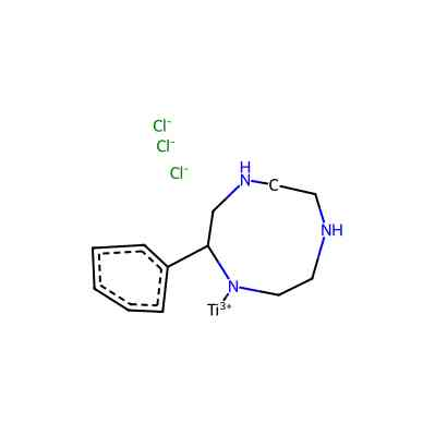 [Cl-].[Cl-].[Cl-].[Ti+3][N]1CCNCCNCC1c1ccccc1